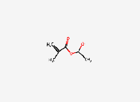 C=C(C)C(=O)OC(C)[O]